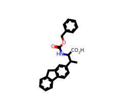 CC(c1ccc2c(c1)Cc1ccccc1-2)C(NC(=O)OCc1ccccc1)C(=O)O